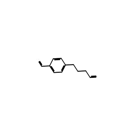 O=[C]c1ccc(CCCC=O)cc1